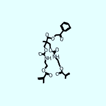 C=C(C)C(=O)OCCNC(=O)OCC(C)(COC(=O)NCCOC(=O)C(=C)C)C(=O)OCC(=O)c1ccccc1